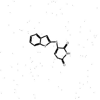 O=C1CC=C(Sc2cc3ccccc3s2)C(=O)N1